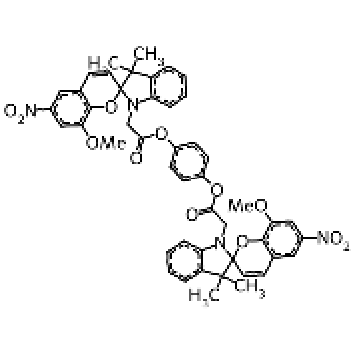 COc1cc([N+](=O)[O-])cc2c1OC1(C=C2)N(CC(=O)Oc2ccc(OC(=O)CN3c4ccccc4C(C)(C)C34C=Cc3cc([N+](=O)[O-])cc(OC)c3O4)cc2)c2ccccc2C1(C)C